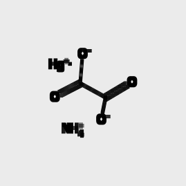 O=C([O-])C(=O)[O-].[Hg+].[NH4+]